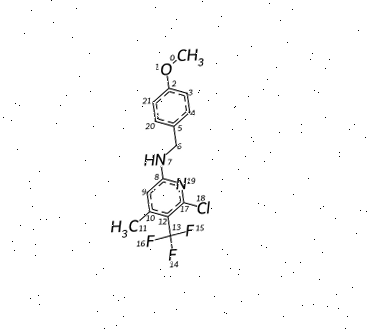 COc1ccc(CNc2cc(C)c(C(F)(F)F)c(Cl)n2)cc1